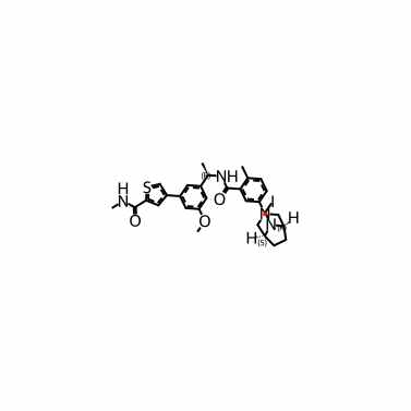 CNC(=O)c1cc(-c2cc(OC)cc([C@@H](C)NC(=O)c3cc(N4C[C@H]5CC[C@@H](C4)N5CI)ccc3C)c2)cs1